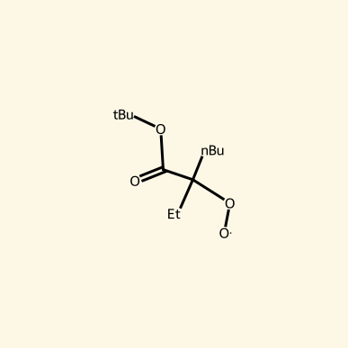 CCCCC(CC)(O[O])C(=O)OC(C)(C)C